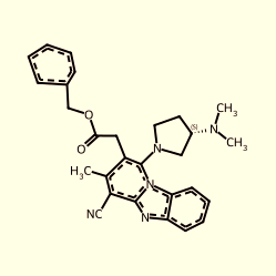 Cc1c(CC(=O)OCc2ccccc2)c(N2CC[C@H](N(C)C)C2)n2c(nc3ccccc32)c1C#N